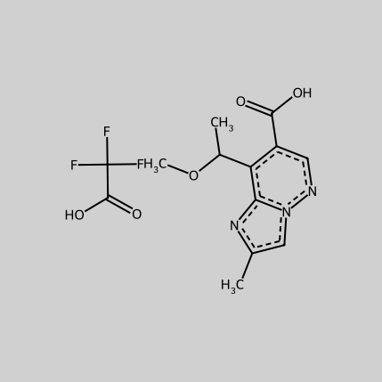 COC(C)c1c(C(=O)O)cnn2cc(C)nc12.O=C(O)C(F)(F)F